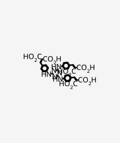 O=C(O)C(=Cc1ccc(Nc2nc(Nc3ccc(C=C(C(=O)O)C(=O)O)cc3)nc(Nc3ccc(C=C(C(=O)O)C(=O)O)cc3)n2)cc1)C(=O)O